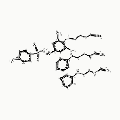 C=COCCOc1c(C)cc(S)cc1C.C=COCCOc1ccccc1.C=COCCOc1ccccc1.Cc1ccc(S(=O)(=O)O)cc1